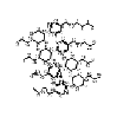 CCCCOCc1cnc([C@H]2CC[C@H](CCC)CC2)nc1.CCCOCc1cnc([C@H]2CC[C@H](CCC)CC2)nc1.CCC[C@H]1CC[C@H](c2ncc(COC)cn2)CC1.CCC[C@H]1CC[C@H](c2ncc(COCC)cn2)CC1